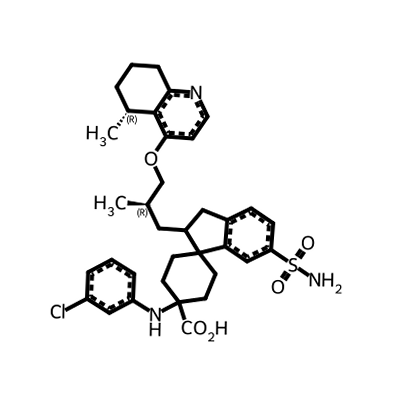 C[C@@H](COc1ccnc2c1[C@H](C)CCC2)CC1Cc2ccc(S(N)(=O)=O)cc2C12CCC(Nc1cccc(Cl)c1)(C(=O)O)CC2